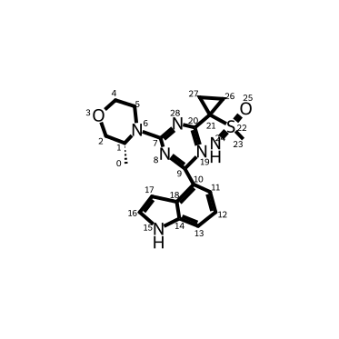 C[C@@H]1COCCN1c1nc(-c2cccc3[nH]ccc23)nc(C2(S(C)(=N)=O)CC2)n1